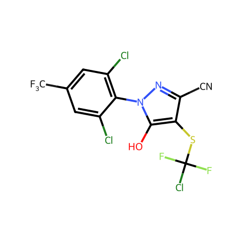 N#Cc1nn(-c2c(Cl)cc(C(F)(F)F)cc2Cl)c(O)c1SC(F)(F)Cl